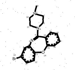 CN1CCN(C2=Nc3cc(Br)ccc3Oc3ccccc32)CC1